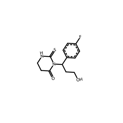 O=C1CCNC(=S)N1C(CCO)c1ccc(F)cc1